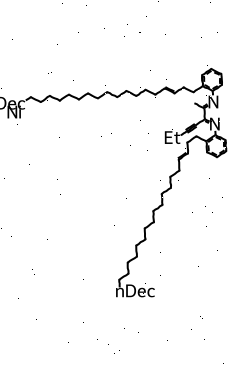 CCC#CC(=Nc1ccccc1CCC=CCCCCCCCCCCCCCCCCCCCCCCCC)C(C)=Nc1ccccc1CCC=CCCCCCCCCCCCCCCCCCCCCCCCC.[Ni]